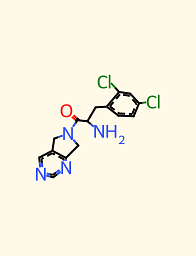 NC(Cc1ccc(Cl)cc1Cl)C(=O)N1Cc2cncnc2C1